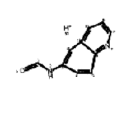 O=CNc1ccc2ncccc2c1.[H+]